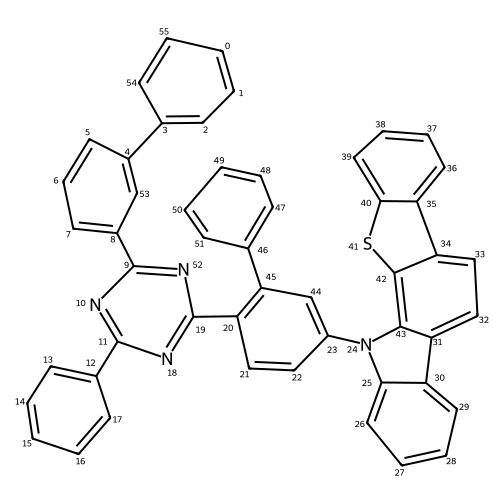 c1ccc(-c2cccc(-c3nc(-c4ccccc4)nc(-c4ccc(-n5c6ccccc6c6ccc7c8ccccc8sc7c65)cc4-c4ccccc4)n3)c2)cc1